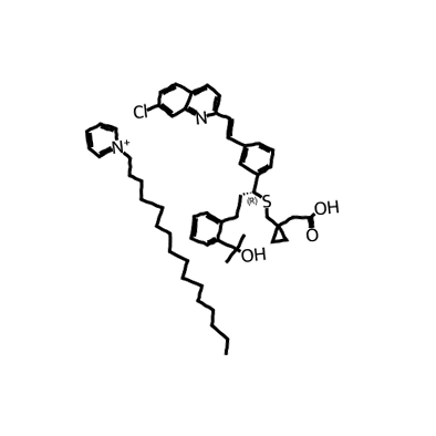 CC(C)(O)c1ccccc1CC[C@@H](SCC1(CC(=O)O)CC1)c1cccc(C=Cc2ccc3ccc(Cl)cc3n2)c1.CCCCCCCCCCCCCCCC[n+]1ccccc1